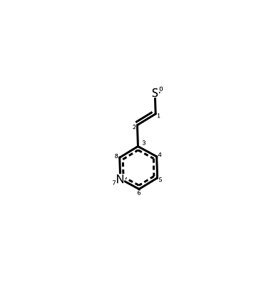 [S]C=Cc1cccnc1